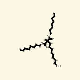 CCCCCCCCOC(=O)C(C)(CCCCCCCCO)C(=O)OCCCCCCCC